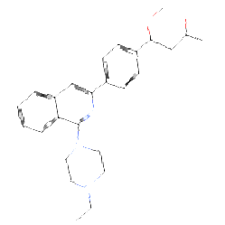 CCN1CCN(c2nc(-c3ccc(C(CC(C)O)OC)cc3)cc3ccccc23)CC1